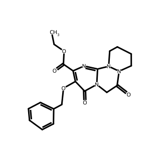 CCOC(=O)c1nc2n(c(=O)c1OCc1ccccc1)CC(=O)N1CCCCN21